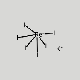 [I][Re-]([I])([I])([I])([I])[I].[K+]